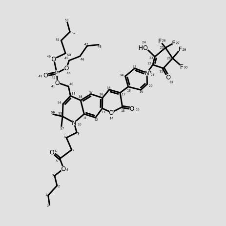 CCCCOC(=O)CCCN1c2cc3oc(=O)c(-c4cc[n+](C5=C(O)C(F)(F)C(F)(F)C5=O)cc4)cc3cc2C(COP(=O)(OCCCC)OCCCC)=CC1(C)C